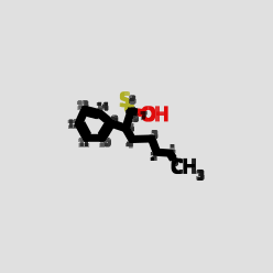 CCCCCC(C(O)=S)c1ccccc1